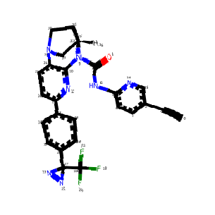 C#Cc1ccc(NC(=O)N2c3nc(-c4ccc(C5(C(F)(F)F)N=N5)cc4)ccc3N3CC[C@H]2C3)nc1